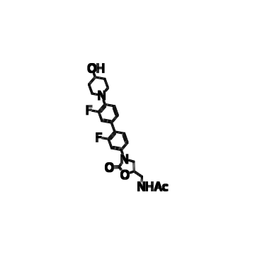 CC(=O)NCC1CN(c2ccc(-c3ccc(N4CCC(O)CC4)c(F)c3)c(F)c2)C(=O)O1